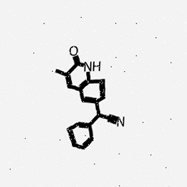 Cc1cc2cc(C(C#N)c3ccccc3)ccc2[nH]c1=O